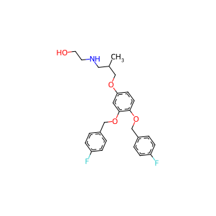 CC(CNCCO)COc1ccc(OCc2ccc(F)cc2)c(OCc2ccc(F)cc2)c1